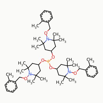 Cc1ccccc1CON1C(C)(C)CC(OP(OC2CC(C)(C)N(OCc3ccccc3C)C(C)(C)C2)OC2CC(C)(C)N(OCc3ccccc3C)C(C)(C)C2)CC1(C)C